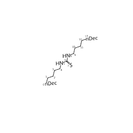 CCCCCCCCCCCCCCNC(=S)NCCCCCCCCCCCCCC